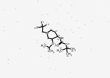 CC(C)OC1CN(CC(F)(F)F)CCC1NC(=O)OC(C)(C)C